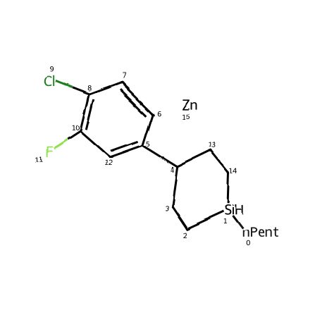 CCCCC[SiH]1CCC(c2ccc(Cl)c(F)c2)CC1.[Zn]